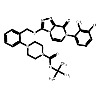 Cc1c(Cl)cccc1-n1ccn2c(SCc3ccccc3N3CCN(C(=O)OC(C)(C)C)CC3)nnc2c1=O